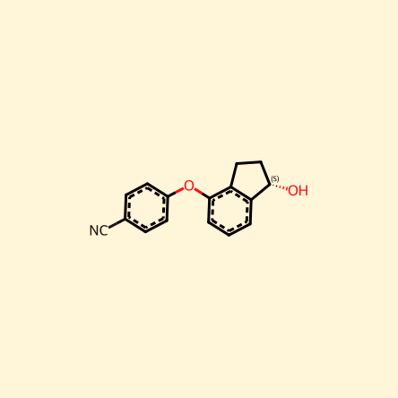 N#Cc1ccc(Oc2cccc3c2CC[C@@H]3O)cc1